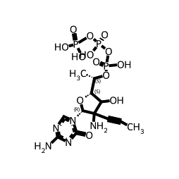 CC#CC1(N)C(O)[C@@H]([C@H](C)OP(=O)(O)OP(=O)(O)OP(=O)(O)O)O[C@H]1n1cnc(N)nc1=O